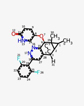 CC1C2[C@H]3CC[C@](Oc4ccc(=O)[nH]c4)(c4nnc(-c5c(F)cccc5F)cc43)C12C